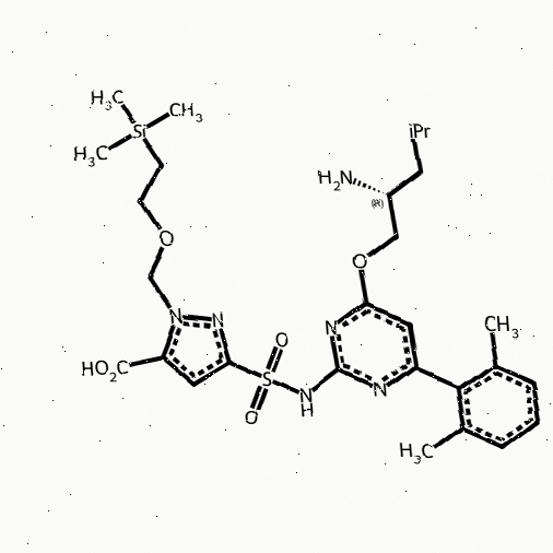 Cc1cccc(C)c1-c1cc(OC[C@H](N)CC(C)C)nc(NS(=O)(=O)c2cc(C(=O)O)n(COCC[Si](C)(C)C)n2)n1